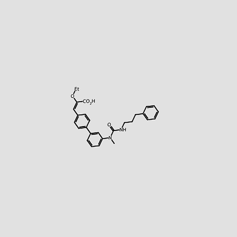 CCO/C(=C/c1ccc(-c2cccc(N(C)C(=O)NCCCc3ccccc3)c2)cc1)C(=O)O